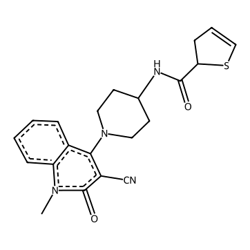 Cn1c(=O)c(C#N)c(N2CCC(NC(=O)C3CC=CS3)CC2)c2ccccc21